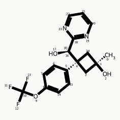 C[C@]1(O)C[C@@](c2ccc(OC(F)(F)F)cc2)([C@@H](O)c2ncccn2)C1